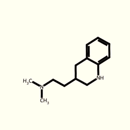 CN(C)CCC1CNc2ccccc2C1